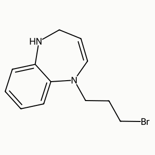 BrCCCN1C=CCNc2ccccc21